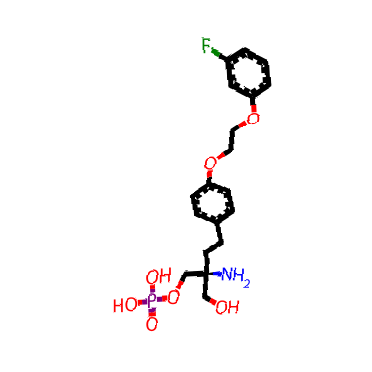 N[C@](CO)(CCc1ccc(OCCOc2cccc(F)c2)cc1)COP(=O)(O)O